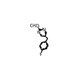 O=Cc1ncc(Cc2ccc(F)cc2)cn1